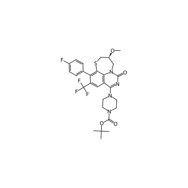 CO[C@@H]1CSc2c(-c3ccc(F)cc3)c(C(F)(F)F)cc3c(N4CCN(C(=O)OC(C)(C)C)CC4)nc(=O)n(c23)C1